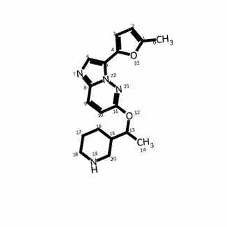 Cc1ccc(-c2cnc3ccc(OC(C)C4CCCNC4)nn23)o1